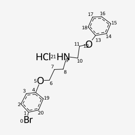 Brc1ccc(OCCCNCCOc2ccccc2)cc1.Cl